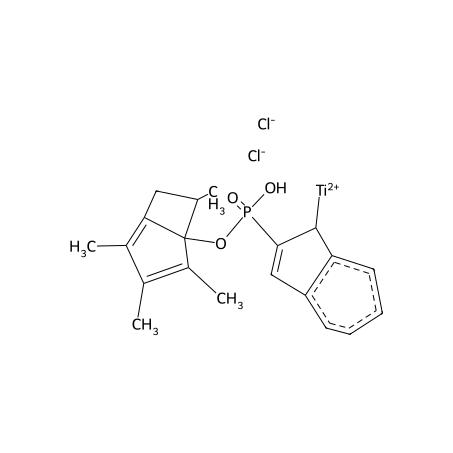 CC1=C(C)C2(OP(=O)(O)C3=Cc4ccccc4[CH]3[Ti+2])C(=C1C)CC2C.[Cl-].[Cl-]